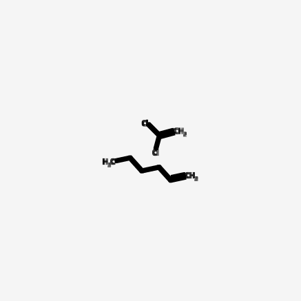 C=C(Cl)Cl.C=CCCCC